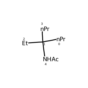 CCCC(CC)(CCC)NC(C)=O